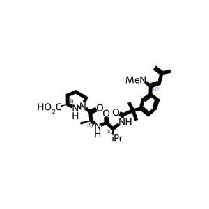 C=C(C)/C=C(\NC)c1cccc(C(C)(C)C(=O)N[C@H](C(=O)N[C@@H](C)C(=O)N2CCC[C@@H](C(=O)O)N2)C(C)C)c1